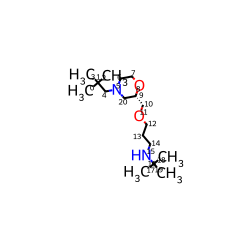 CC(C)(C)CN1CCO[C@H](COCCCNC(C)(C)C)C1